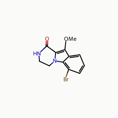 COc1c2n(c3c(Br)cccc13)CCNC2=O